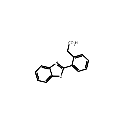 O=C(O)Cc1ccccc1-c1nc2ccccc2o1